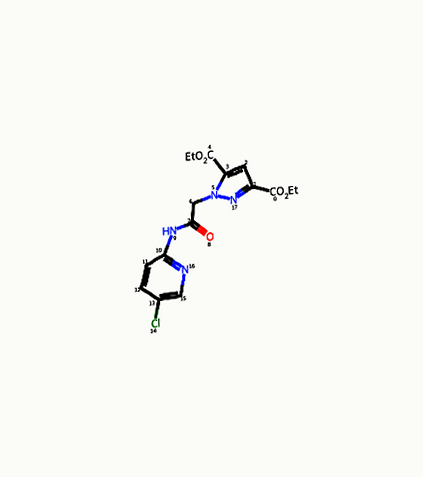 CCOC(=O)c1cc(C(=O)OCC)n(CC(=O)Nc2ccc(Cl)cn2)n1